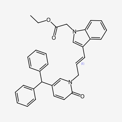 CCOC(=O)Cn1cc(/C=C/Cn2cc(C(c3ccccc3)c3ccccc3)ccc2=O)c2ccccc21